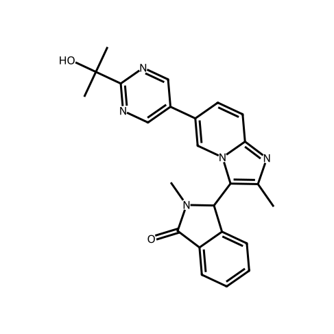 Cc1nc2ccc(-c3cnc(C(C)(C)O)nc3)cn2c1C1c2ccccc2C(=O)N1C